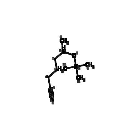 C[SiH](CCCC#N)O[Si](C)(C)C